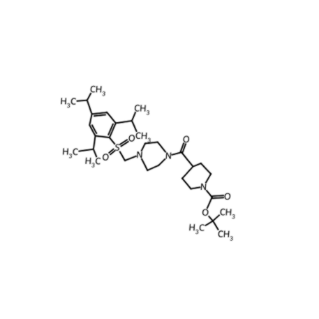 CC(C)c1cc(C(C)C)c(S(=O)(=O)CN2CCN(C(=O)C3CCN(C(=O)OC(C)(C)C)CC3)CC2)c(C(C)C)c1